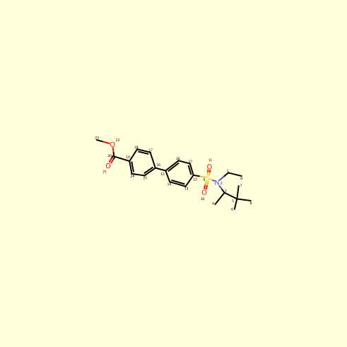 CCN(C(C)C(C)(C)C)S(=O)(=O)c1ccc(-c2ccc(C(=O)OC)cc2)cc1